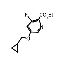 CCOC(=O)c1ncc(OCC2CC2)cc1F